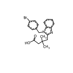 CC(C)(CC(=O)O)Cc1nc2ccccc2n1Cc1ccc(Br)cc1